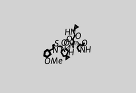 COc1cccc(-c2csc(C(=O)N3CCC4(CC4)C[C@H]3C(=O)N[C@@H](C[C@@H]3CCNC3=O)C(=O)C(=O)NC3CC3)n2)c1